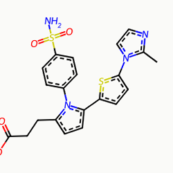 Cc1nccn1-c1ccc(-c2ccc(CCC(=O)O)n2-c2ccc(S(N)(=O)=O)cc2)s1